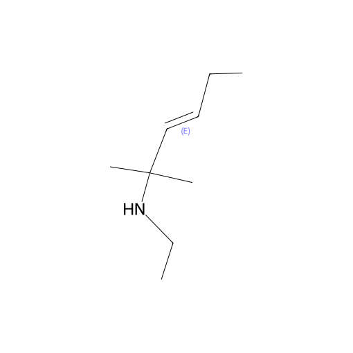 CC/C=C/C(C)(C)NCC